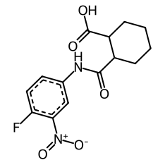 O=C(O)C1CCCCC1C(=O)Nc1ccc(F)c([N+](=O)[O-])c1